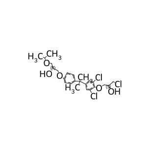 CC(C)OC[C@@H](O)COc1ccc(C(C)(C)c2cc(Cl)c(OC[C@H](O)CCl)c(Cl)c2)cc1